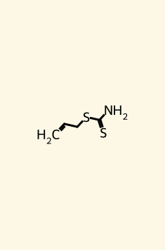 C=CCSC(N)=S